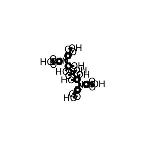 O=C1C(=C2C(O)=CC(N(c3ccc(S(=O)(=O)O)cc3)c3ccc(S(=O)(=O)O)cc3)C=C2O)C(O)=C1c1c(O)cc(N(c2ccc(S(=O)(=O)O)cc2)c2ccc(S(=O)(=O)O)cc2)cc1O